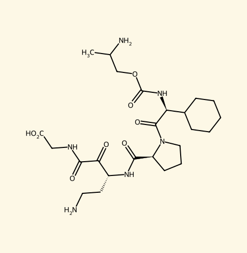 CC(N)COC(=O)N[C@H](C(=O)N1CCC[C@H]1C(=O)N[C@H](CCN)C(=O)C(=O)NCC(=O)O)C1CCCCC1